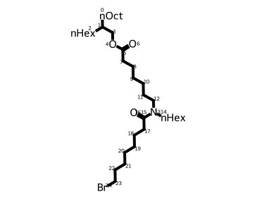 CCCCCCCCC(CCCCCC)COC(=O)CCCCCCN(CCCCCC)C(=O)CCCCCCCBr